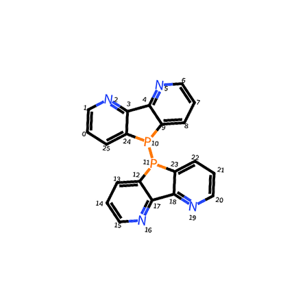 c1cnc2c3ncccc3p(-p3c4cccnc4c4ncccc43)c2c1